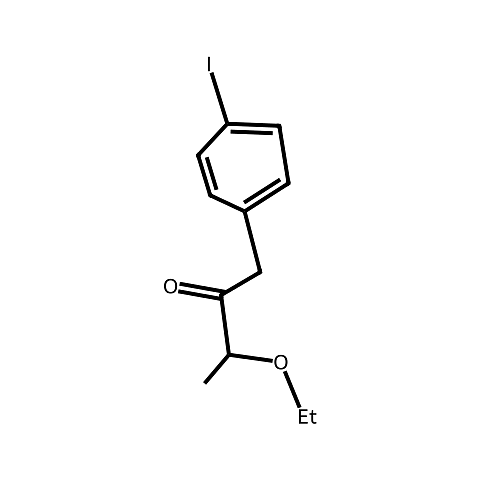 CCOC(C)C(=O)Cc1ccc(I)cc1